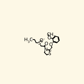 CCC[S+]([O-])CC(=O)N1CCS[C@@H]1COc1ccccc1OC